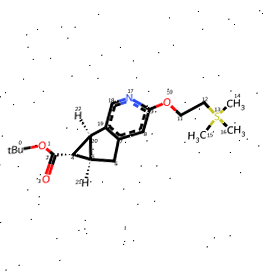 CC(C)(C)OC(=O)[C@H]1[C@@H]2Cc3cc(OCCS(C)(C)C)ncc3[C@@H]21